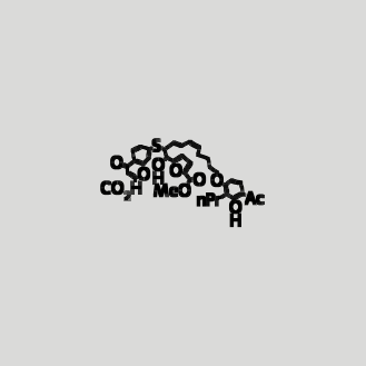 CCCc1c(OCCCC/C=C\C=C\[C@H](Sc2ccc3c(=O)cc(C(=O)O)oc3c2)[C@H](O)c2ccc(C(=O)OC)o2)ccc(C(C)=O)c1O